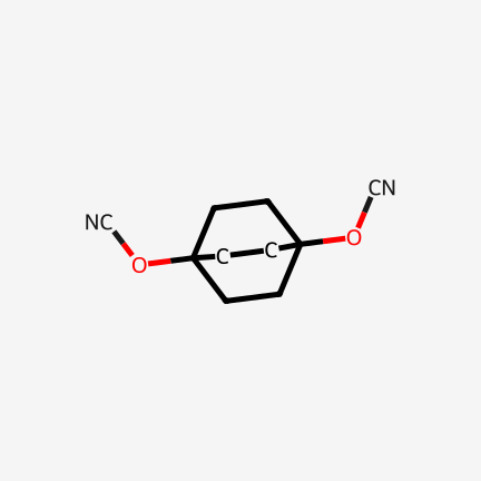 N#COC12CCC(OC#N)(CC1)CC2